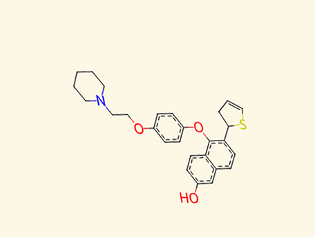 Oc1ccc2c(Oc3ccc(OCCN4CCCCC4)cc3)c(C3CC=CS3)ccc2c1